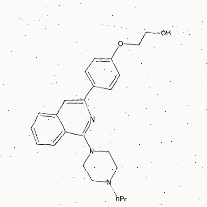 CCCN1CCN(c2nc(-c3ccc(OCCO)cc3)cc3ccccc23)CC1